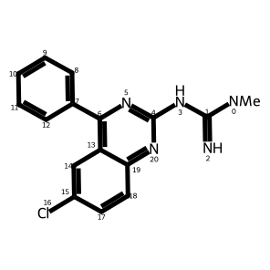 CNC(=N)Nc1nc(-c2ccccc2)c2cc(Cl)ccc2n1